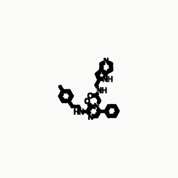 Cc1ccc(CCNc2ncc(-c3ccccc3)n(CC(=O)NCc3cc4cnccc4[nH]3)c2=O)cc1